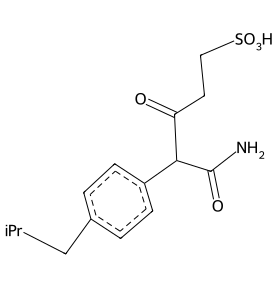 CC(C)Cc1ccc(C(C(N)=O)C(=O)CCS(=O)(=O)O)cc1